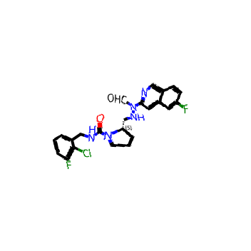 O=CN(NC[C@@H]1CCCN1C(=O)NCc1cccc(F)c1Cl)c1cc2cc(F)ccc2cn1